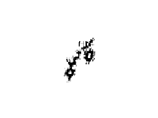 C=CNCCN(CCCCC(=C)c1ccc(C)cc1)c1ccccc1C